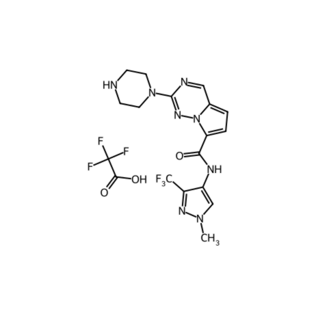 Cn1cc(NC(=O)c2ccc3cnc(N4CCNCC4)nn23)c(C(F)(F)F)n1.O=C(O)C(F)(F)F